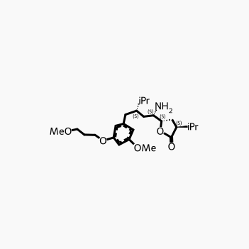 COCCCOc1cc(C[C@@H](C[C@H](N)[C@@H]2C[C@@H](C(C)C)C(=O)O2)C(C)C)cc(OC)c1